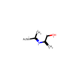 C=C(CO)/N=C(\C)NC(C)=O